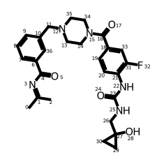 CC(C)=NC(=O)c1cccc(CN2CCN(C(=O)c3ccc(NC(=O)NCC4(O)CC4)c(F)c3)CC2)c1